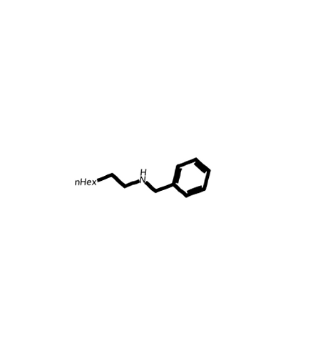 CCCCCCCCNCc1ccccc1